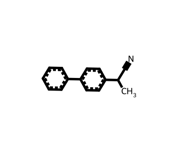 CC(C#N)c1ccc(-c2ccccc2)cc1